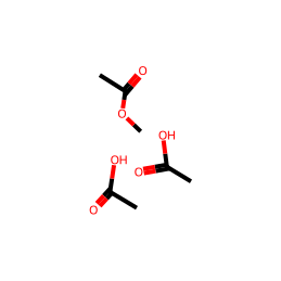 CC(=O)O.CC(=O)O.COC(C)=O